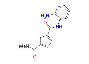 CNC(=O)C1=CC=C(C(=O)Nc2ccccc2N)C1